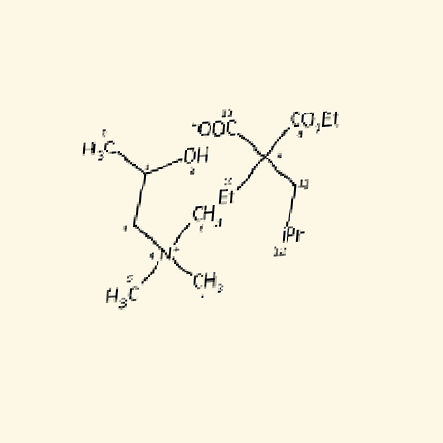 CC(O)C[N+](C)(C)C.CCOC(=O)C(CC)(CC(C)C)C(=O)[O-]